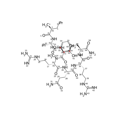 CC(C)C[C@H](C)C(=O)N[C@H](C(=O)N[C@H](C(=O)N(C)[C@@H](CCCNC(=N)N)C(=O)N[C@@H](CCC(N)=O)C(=O)N[C@@H](CCCNC(=N)N)C(=O)N[C@@H](Cc1ccc(O)cc1)C(N)=O)[C@@H](C)O)C(C)C